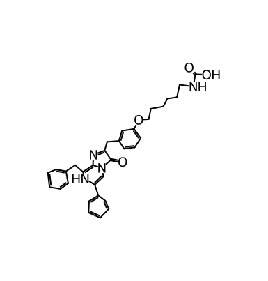 O=C(O)NCCCCCCOc1cccc(Cc2nc3c(Cc4ccccc4)[nH]c(-c4ccccc4)cn-3c2=O)c1